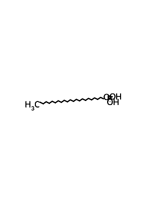 CCCCCCCCCCCCCCCCCCCCCCCOP(O)O